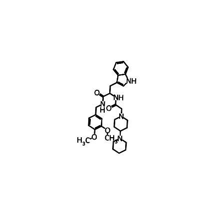 COc1ccc(CNC(=O)C(Cc2c[nH]c3ccccc23)NC(=O)CN2CCC(N3CCCCC3)CC2)cc1OC